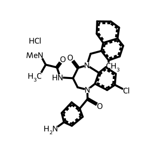 CNC(C)C(=O)NC1CN(C(=O)c2ccc(N)cc2)c2cc(Cl)ccc2N(Cc2c(C)ccc3ccccc23)C1=O.Cl